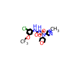 Cn1cc(N(C2CCOCC2)S(=O)(=O)NC(=O)Nc2cc(Cl)cc(OCC(F)(F)F)c2)cn1